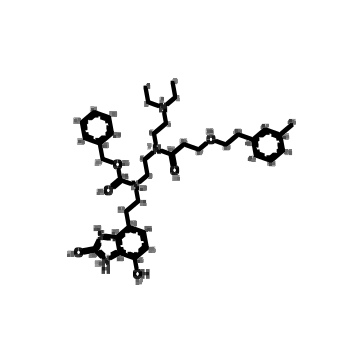 CCN(CC)CCN(CCN(CCc1ccc(O)c2[nH]c(=O)sc12)C(=O)OCc1ccccc1)C(=O)CCOCCc1cccc(C)c1